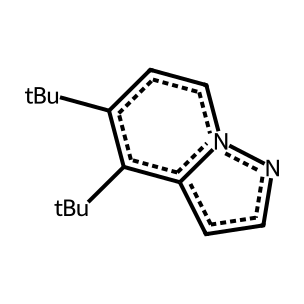 CC(C)(C)c1ccn2nccc2c1C(C)(C)C